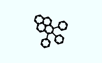 c1ccc(-c2c(-c3ccccc3)c3ccc4cccc5ccc(c2-c2ccccc2)c3c45)cc1